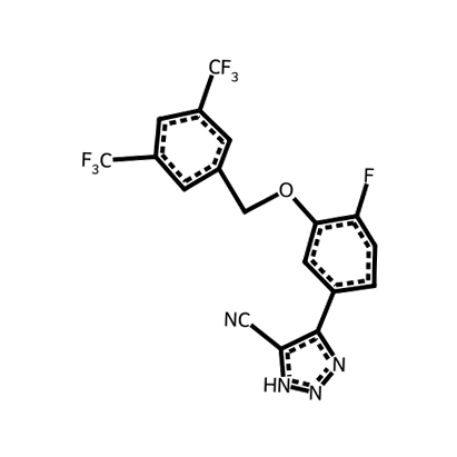 N#Cc1[nH]nnc1-c1ccc(F)c(OCc2cc(C(F)(F)F)cc(C(F)(F)F)c2)c1